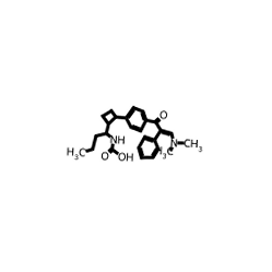 CCCC(NC(=O)O)C1CCC1c1ccc(C(=O)/C(=C/N(C)C)c2ccccc2)cc1